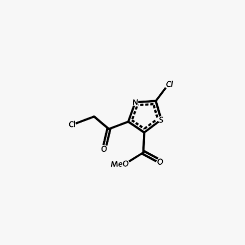 COC(=O)c1sc(Cl)nc1C(=O)CCl